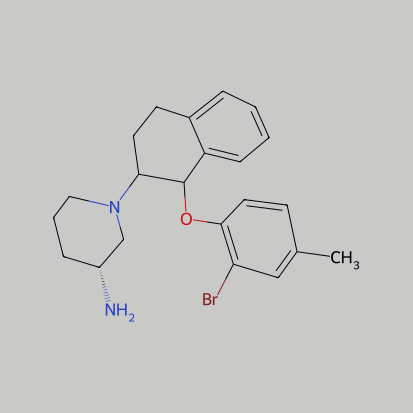 Cc1ccc(OC2c3ccccc3CCC2N2CCC[C@@H](N)C2)c(Br)c1